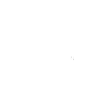 Cc1cccc(C)c1Cc1[c]n2ccccc2c1-c1ccccc1